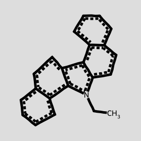 CCn1c2ccc3ccccc3c2c2ccc3ccccc3c21